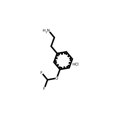 Cl.NCCc1cccc(OC(F)F)c1